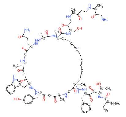 CC[C@@H]1NN[C@@H](CCC(N)=O)C(=O)CN[C@@H](C)C(=O)CC(=O)[C@H](Cc2c[nH]c3ccccc23)NN[C@@H](Cc2ccc(O)cc2)C(=O)CC(=O)[C@H](C)NCC(=O)[C@](C)(NN[C@@H](Cc2ccccc2)C(=O)C(=O)[C@@H](NC(=O)[C@H](CC(C)C)NC(C)=O)[C@@H](C)O)CCCCCC/C=C\CCC[C@@](C)(C(=O)N[C@@H](CO)C(=O)CN[C@@H](C)C(=O)CCN[C@@H](C)C(=O)CN)NC1=O